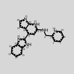 c1ccc(CNc2cc(-c3nc4ccccc4[nH]3)c3ccnc-3[nH]2)nc1